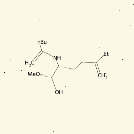 C=C(CC)CC[C@@H](NC(=C)CCCC)[C@H](O)OC